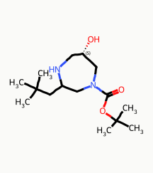 CC(C)(C)CC1CN(C(=O)OC(C)(C)C)C[C@@H](O)CN1